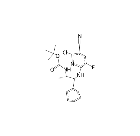 C[C@H](NC(=O)OC(C)(C)C)C(Nc1nc(Cl)c(C#N)cc1F)c1ccccc1